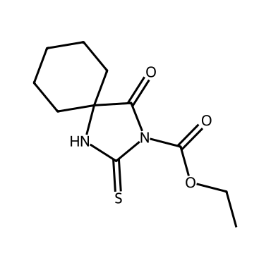 CCOC(=O)N1C(=O)C2(CCCCC2)NC1=S